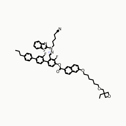 CCCc1ccc(-c2ccc(-c3ccc(OC(=O)c4ccc5cc(OCCCCCCOCC6(CC)COC6)ccc5c4)c(F)c3/C=N/N(CCCCC#N)c3nc4ccccc4s3)c(F)c2)cc1